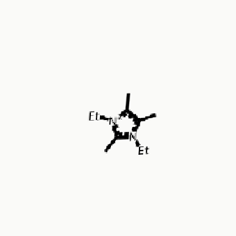 CCn1c(C)c(C)[n+](CC)c1C